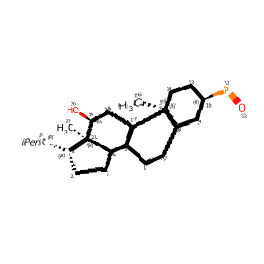 CCC[C@@H](C)[C@H]1CCC2C3CCC4C[C@H](P=O)CC[C@]4(C)C3C[C@H](O)[C@@]21C